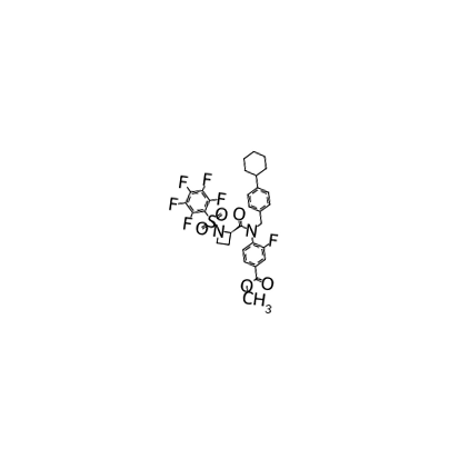 COC(=O)c1ccc(N(Cc2ccc(C3CCCCC3)cc2)C(=O)[C@H]2CCN2S(=O)(=O)c2c(F)c(F)c(F)c(F)c2F)c(F)c1